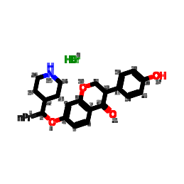 Br.CCCC(Oc1ccc2c(c1)OCC(c1ccc(O)cc1)C2=O)C1CCNCC1